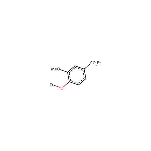 CCOC(=O)c1ccc(OCC)c(OC)c1